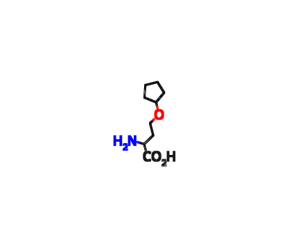 NC(CCOC1CCCC1)C(=O)O